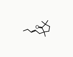 CCC=CCC1(C)CCC(C)(C)C1=O